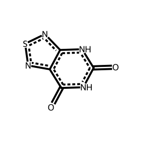 O=c1[nH]c(=O)c2nsnc2[nH]1